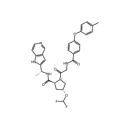 Cc1ccc(Oc2ccc(C(=O)NCC(=O)N3C[C@H](OC(F)F)C[C@H]3C(=O)N[C@H](C)c3cc4cnccc4[nH]3)cc2)cc1